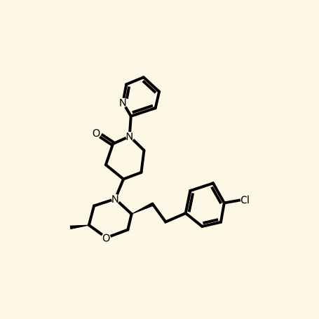 C[C@H]1CN(C2CCN(c3ccccn3)C(=O)C2)[C@@H](CCc2ccc(Cl)cc2)CO1